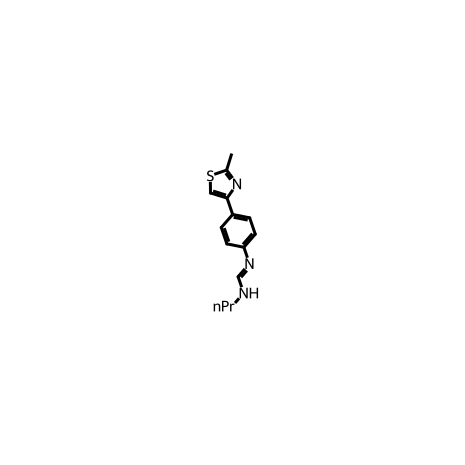 CCCN/C=N/c1ccc(-c2csc(C)n2)cc1